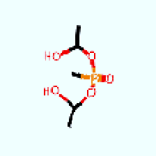 CC(O)OP(C)(=O)OC(C)O